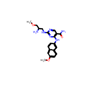 COCC(N)CNc1ncc(C(N)=O)c(Nc2ccc3cc(OC)ccc3c2)n1